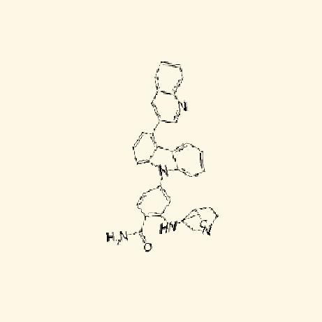 NC(=O)c1ccc(-n2c3ccccc3c3c(-c4cnc5ccccc5c4)cccc32)cc1NC1CN2CCC1CC2